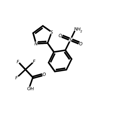 NS(=O)(=O)c1ccccc1-c1nccs1.O=C(O)C(F)(F)F